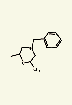 CC1CN(Cc2ccccc2)CC(C(F)(F)F)O1